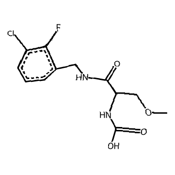 COCC(NC(=O)O)C(=O)NCc1cccc(Cl)c1F